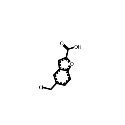 O=C(O)c1cc2cc(CCl)ccc2o1